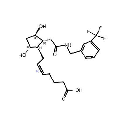 O=C(O)CCC/C=C\C[C@@H]1[C@@H](CC(=O)NCc2cccc(C(F)(F)F)c2)[C@H](O)C[C@H]1O